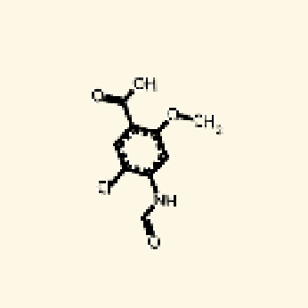 COc1cc(NC=O)c(Cl)cc1C(=O)O